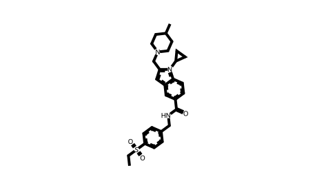 CCS(=O)(=O)c1ccc(CNC(=O)c2ccc3c(c2)cc(CN2CCC(C)CC2)n3C2CC2)cc1